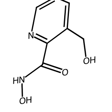 O=C(NO)c1ncccc1CO